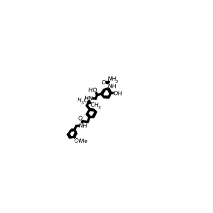 COc1cccc(CNC(=O)Cc2cccc(CC(C)(C)NCC(O)c3ccc(O)c(NC(N)=O)c3)c2)c1